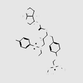 CCCCOP(=O)(COC1C=CC(C[C@H](NC(=O)O[C@H]2CO[C@H]3OCC[C@H]32)[C@H](O)CN(CC(C)C)S(=O)(=O)c2ccc(F)cc2)=CC1)OCCCC